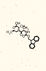 C=CCN(C(=O)[C@H](C)NC(=O)OCC1c2ccccc2-c2ccccc21)[C@@H](C)C(=O)O